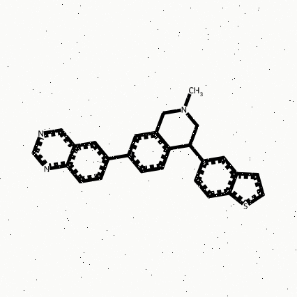 CN1Cc2cc(-c3ccc4ncncc4c3)ccc2C(c2ccc3sccc3c2)C1